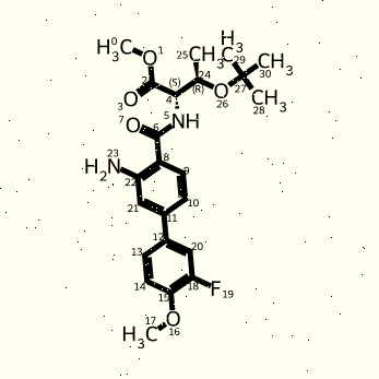 COC(=O)[C@@H](NC(=O)c1ccc(-c2ccc(OC)c(F)c2)cc1N)[C@@H](C)OC(C)(C)C